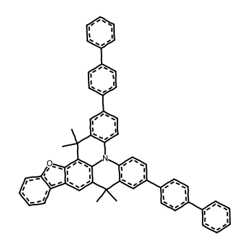 CC1(C)c2cc(-c3ccc(-c4ccccc4)cc3)ccc2N2c3ccc(-c4ccc(-c5ccccc5)cc4)cc3C(C)(C)c3c2c1cc1c3oc2ccccc21